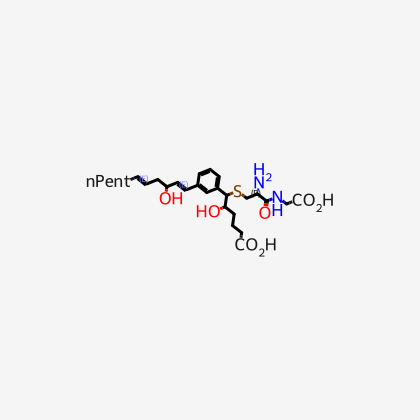 CCCCC/C=C/CC(O)/C=C/c1cccc(C(SC[C@H](N)C(=O)NCC(=O)O)C(O)CCCC(=O)O)c1